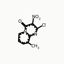 Cc1cccn2c(=O)c([N+](=O)[O-])c(Cl)nc12